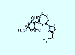 CCc1ccc(C2CC(c3c(O)cc(C)oc3=O)=NCCS2)s1